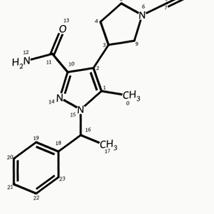 Cc1c(C2CCN(C#N)C2)c(C(N)=O)nn1C(C)c1ccccc1